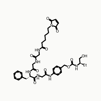 CC[C@H](CO)NC(=O)OCc1ccc(NC(=O)CNC(=O)[C@H](Cc2ccccc2)NC(=O)CNC(=O)CNC(=O)CCCCCN2C(=O)C=CC2=O)cc1